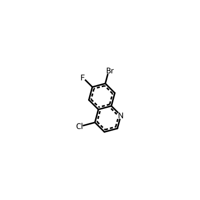 Fc1cc2c(Cl)ccnc2cc1Br